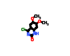 COc1cc2[nH]c(=O)nc(Cl)c2cc1OC